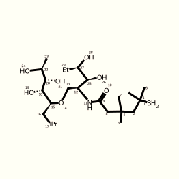 BC(C)(C)CC(C)(C)CC(=O)N[C@@H](CO[C@@H](CC(C)C)[C@H](O)[C@@H](O)[C@H](C)O)[C@H](O)[C@H](O)CC